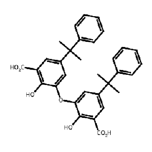 CC(C)(c1ccccc1)c1cc(Oc2cc(C(C)(C)c3ccccc3)cc(C(=O)O)c2O)c(O)c(C(=O)O)c1